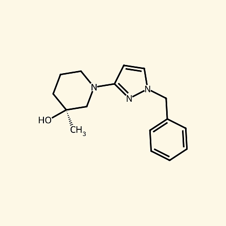 C[C@]1(O)CCCN(c2ccn(Cc3ccccc3)n2)C1